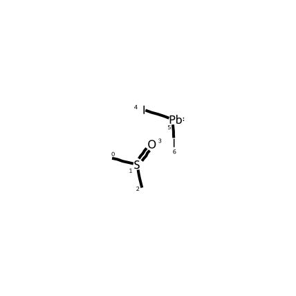 CS(C)=O.[I][Pb][I]